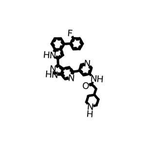 O=C(CC1CCNCC1)Nc1cncc(-c2cc3c(-c4cc5c(-c6ccccc6F)cccc5[nH]4)n[nH]c3cn2)c1